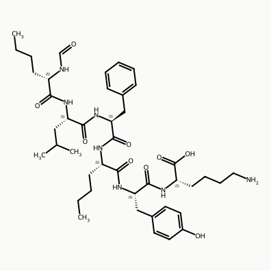 CCCC[C@H](NC=O)C(=O)N[C@@H](CC(C)C)C(=O)N[C@@H](Cc1ccccc1)C(=O)N[C@@H](CCCC)C(=O)N[C@@H](Cc1ccc(O)cc1)C(=O)N[C@@H](CCCCN)C(=O)O